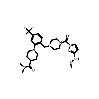 CSNc1ccn(C(=O)N2CCN(Cc3ccc(C(F)(F)F)cc3N3CCC(C(=O)N(C)C)CC3)CC2)n1